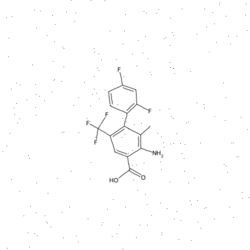 Cc1c(N)c(C(=O)O)cc(C(F)(F)F)c1-c1ccc(F)cc1F